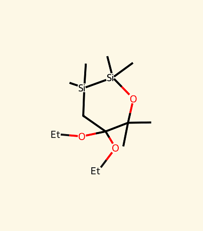 CCOC1(OCC)C[Si](C)(C)[Si](C)(C)OC1(C)C